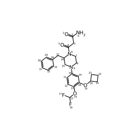 NC(=O)CC(=O)N1CCN(c2ccc(OC(F)F)c(OC3CCC3)c2)CC1Cc1ccccc1